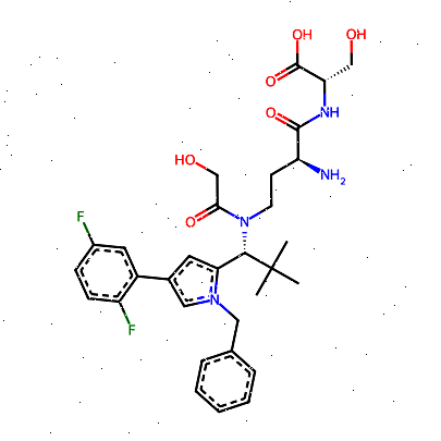 CC(C)(C)[C@H](c1cc(-c2cc(F)ccc2F)cn1Cc1ccccc1)N(CC[C@H](N)C(=O)N[C@@H](CO)C(=O)O)C(=O)CO